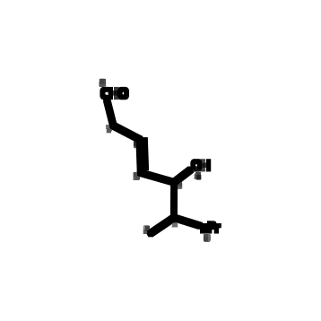 CCCC(C)C(O)/C=C/CC=O